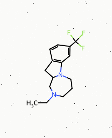 CCN1CCCN2c3cc(C(F)(F)F)ccc3CC2C1